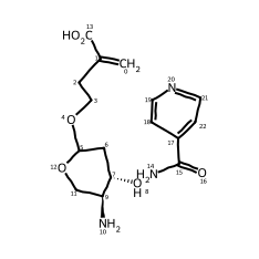 C=C(CCOC1C[C@H](O)[C@@H](N)CO1)C(=O)O.NC(=O)c1ccncc1